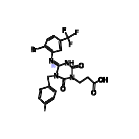 Cc1ccc(Cn2c(=O)n(CCC(=O)O)c(=O)[nH]/c2=N\c2cc(C(F)(F)F)ccc2Br)cc1